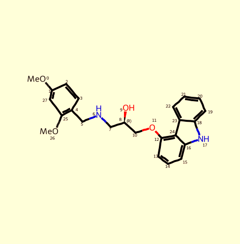 COc1ccc(CNC[C@@H](O)COc2cccc3[nH]c4ccccc4c23)c(OC)c1